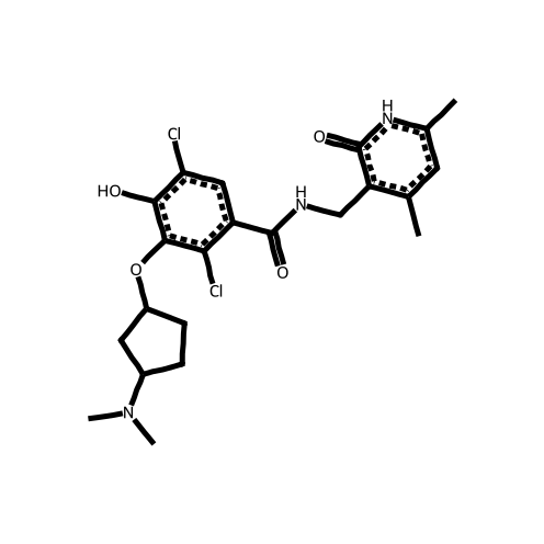 Cc1cc(C)c(CNC(=O)c2cc(Cl)c(O)c(OC3CCC(N(C)C)C3)c2Cl)c(=O)[nH]1